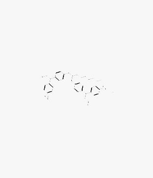 CCCCCCCC(Cc1ccc(C(CCC)c2ccc(N)cc2)cc1)Cc1ccc(C(CCC)c2ccc(N)cc2)cc1